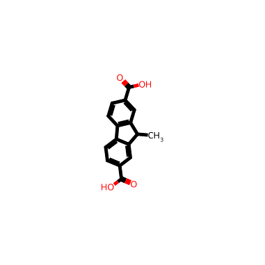 CC1c2cc(C(=O)O)ccc2-c2ccc(C(=O)O)cc21